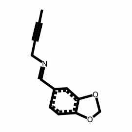 CC#CCN=Cc1ccc2c(c1)OCO2